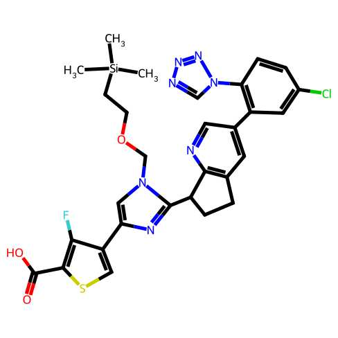 C[Si](C)(C)CCOCn1cc(-c2csc(C(=O)O)c2F)nc1C1CCc2cc(-c3cc(Cl)ccc3-n3cnnn3)cnc21